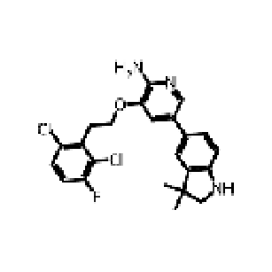 CC1(C)CNc2ccc(-c3cnc(N)c(OCCc4c(Cl)ccc(F)c4Cl)c3)cc21